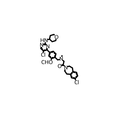 CN(CC(=O)N1CCc2ccc(Cl)cc2CC1)Cc1ccc(-c2nc(NC3CCOCC3)ncc2Cl)cc1C=O